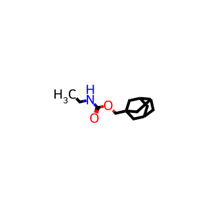 CCNC(=O)OCC12CC3CC(C1)C(C3)C2